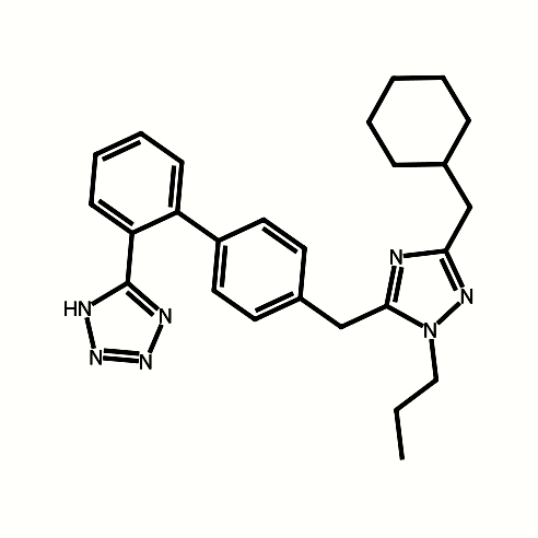 CCCn1nc(CC2CCCCC2)nc1Cc1ccc(-c2ccccc2-c2nnn[nH]2)cc1